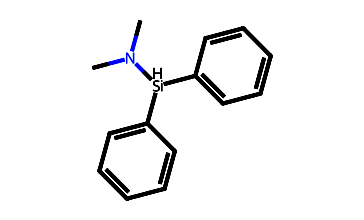 CN(C)[SiH](c1ccccc1)c1ccccc1